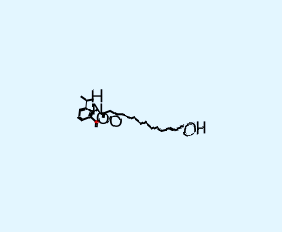 CC(C)c1cccc(C(C)C)c1NC(=O)CC(=O)CCCCCCCCCCCO